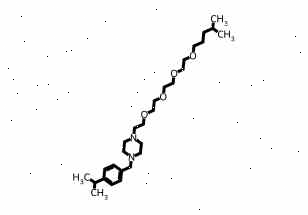 CC(C)CCCOCCOCCOCCOCCN1CCN(Cc2ccc(C(C)C)cc2)CC1